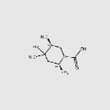 C[C@H]1CC(C)(O)[C@@H](C)CN1C(=O)O